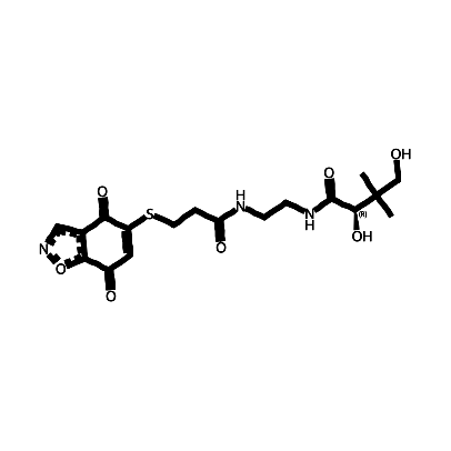 CC(C)(CO)[C@@H](O)C(=O)NCCNC(=O)CCSC1=CC(=O)c2oncc2C1=O